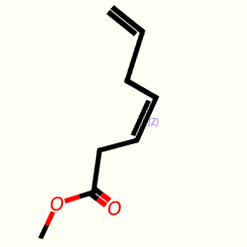 C=CC/C=C\CC(=O)OC